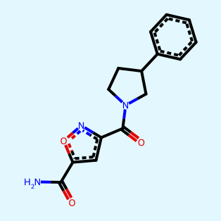 NC(=O)c1cc(C(=O)N2CCC(c3ccccc3)C2)no1